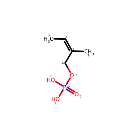 CC=C(C)COP(=O)(O)O